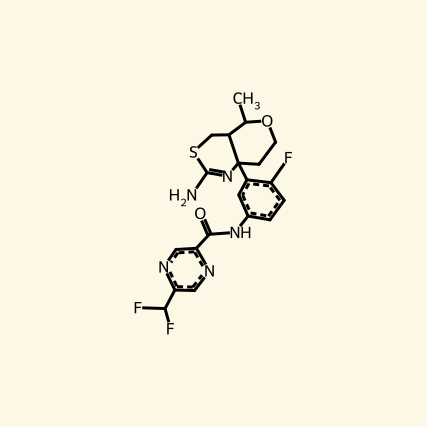 CC1OCCC2(c3cc(NC(=O)c4cnc(C(F)F)cn4)ccc3F)N=C(N)SCC12